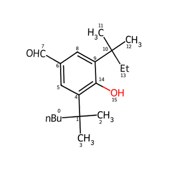 CCCCC(C)(C)c1cc(C=O)cc(C(C)(C)CC)c1O